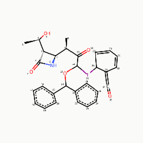 C[C@@H](O)[C@H]1C(=O)N[C@@H]1[C@@H](C)C(=O)C(OC(c1ccccc1)c1ccccc1)[I+]C1C=CC=CC1=C=O